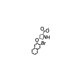 COC(=O)[C@@H]1C[C@@H](Oc2cc3ccccc3cc2Br)CN1